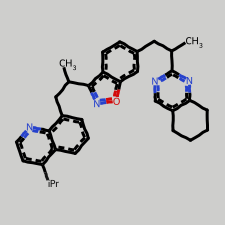 CC(C)c1ccnc2c(CC(C)c3noc4cc(CC(C)c5ncc6c(n5)CCCC6)ccc34)cccc12